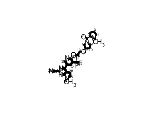 CN1CCC[C@@H]1C(=O)N1CC[C@H](OCCOc2ncc(-c3nc(C#N)nc4c3ccn4C)cc2C(F)(F)F)C1